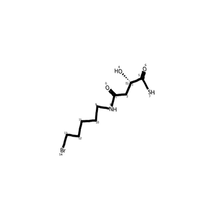 O=C(C[C@H](O)C(=O)S)NCCCCCBr